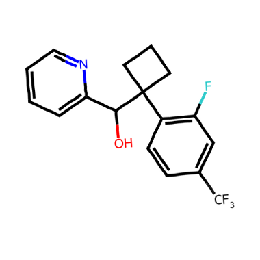 OC(c1ccccn1)C1(c2ccc(C(F)(F)F)cc2F)CCC1